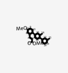 COC(=O)/C=C/c1cc(OC)ccc1-c1ccc(-c2cccc(C)c2)c(C)c1